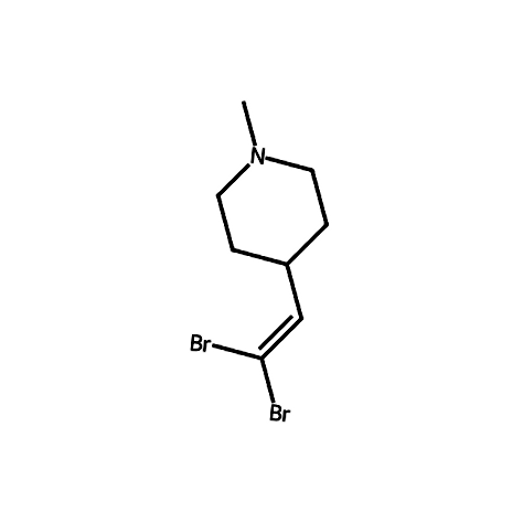 CN1CCC(C=C(Br)Br)CC1